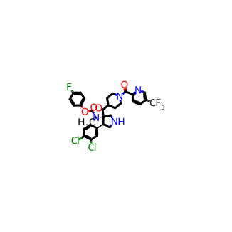 CN(C(=O)Oc1ccc(F)cc1)[C@]1(C(=O)C2CCN(C(=O)c3ccc(C(F)(F)F)cn3)CC2)CNC[C@H]1c1ccc(Cl)c(Cl)c1